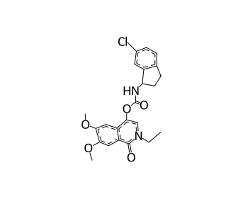 CCn1cc(OC(=O)NC2CCc3ccc(Cl)cc32)c2cc(OC)c(OC)cc2c1=O